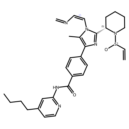 C=C[S+]([O-])N1CCCC[C@H]1c1nc(-c2ccc(C(=O)Nc3cc(CCCC)ccn3)cc2)c(C)n1/C=C\N=C